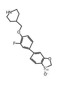 [O-][S@@+]1COc2cc(-c3ccc(OCC4CCNCC4)c(F)c3)ccc21